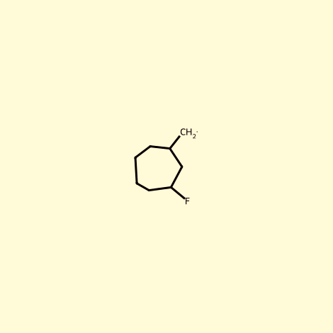 [CH2]C1CCCCC(F)C1